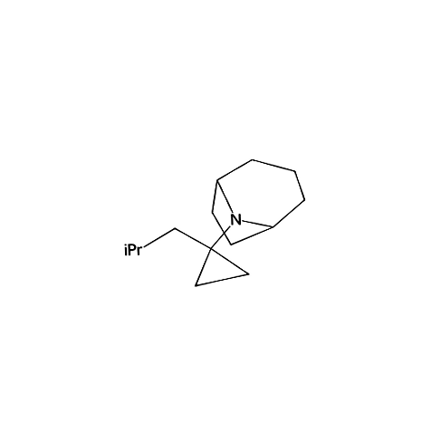 CC(C)CC1(N2C3CCCC2CC3)CC1